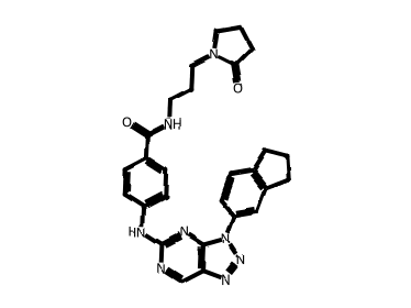 O=C(NCCCN1CCCC1=O)c1ccc(Nc2ncc3nnn(-c4ccc5c(c4)CCC5)c3n2)cc1